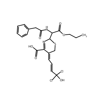 CCCOC(=O)C(NC(=O)Cc1ccccc1)C1N=C(C(=O)O)/C(=C/C=C/C(O)(Cl)Cl)CS1